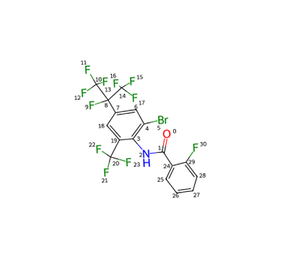 O=C(Nc1c(Br)cc(C(F)(C(F)(F)F)C(F)(F)F)cc1C(F)(F)F)c1ccccc1F